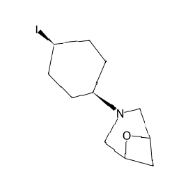 I[C@H]1CC[C@@H](N2CC3CC(C2)O3)CC1